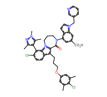 Cc1cc(OCCCc2c3n(c4c(-c5c(C)nn(C)c5C)c(Cl)ccc24)CCCN(c2cc(C(=O)O)cc4c2ccn4Cc2cccnc2)C3=O)cc(C)c1Cl